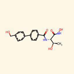 C[C@@H](O)[C@H](NC(=O)c1ccc(-c2ccc(CO)cc2)cc1)C(=O)NO